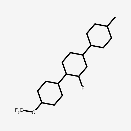 CC1CCC(C2CCC(C3CCC(OC(F)(F)F)CC3)C(F)C2)CC1